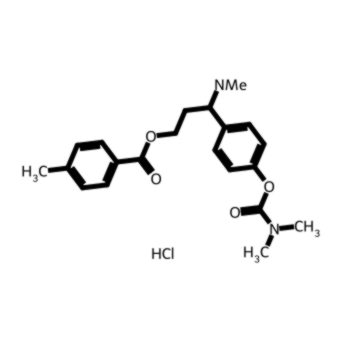 CNC(CCOC(=O)c1ccc(C)cc1)c1ccc(OC(=O)N(C)C)cc1.Cl